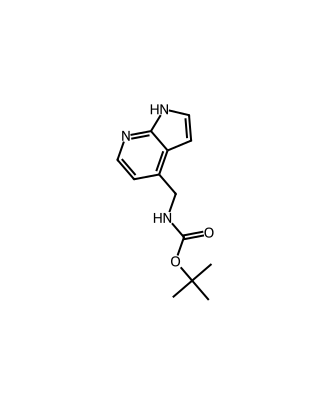 CC(C)(C)OC(=O)NCc1ccnc2[nH]ccc12